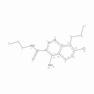 CCCNC(=O)c1nnc2c(CCC)c(Cl)ccc2c1N